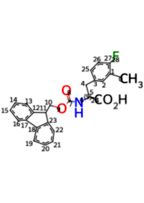 Cc1cc(C[C@H](NC(=O)OCC2c3ccccc3-c3ccccc32)C(=O)O)ccc1F